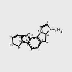 CN1C=CN2c3c(ccc4c5c(oc34)C=CCC5)CC12